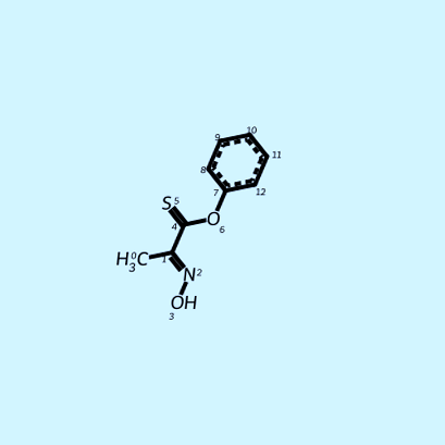 CC(=NO)C(=S)Oc1ccccc1